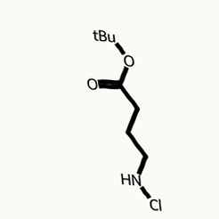 CC(C)(C)OC(=O)CCCNCl